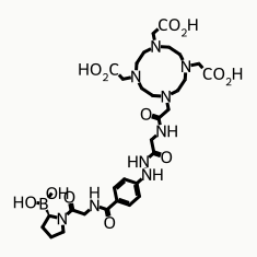 O=C(O)CN1CCN(CC(=O)O)CCN(CC(=O)NCC(=O)NNc2ccc(C(=O)NCC(=O)N3CCC[C@H]3B(O)O)cc2)CCN(CC(=O)O)CC1